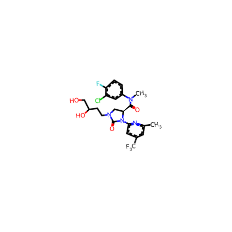 Cc1cc(C(F)(F)F)cc(N2C(=O)N(CCC(O)CO)C[C@H]2C(=O)N(C)c2ccc(F)c(Cl)c2)n1